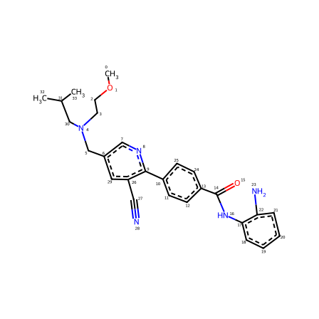 COCCN(Cc1cnc(-c2ccc(C(=O)Nc3ccccc3N)cc2)c(C#N)c1)CC(C)C